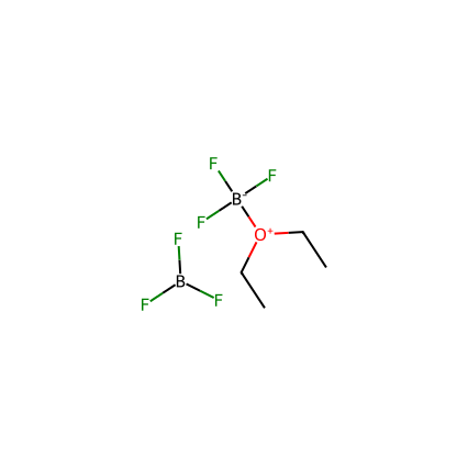 CC[O+](CC)[B-](F)(F)F.FB(F)F